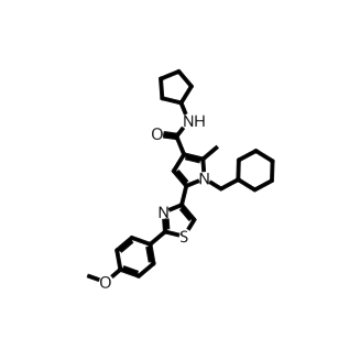 COc1ccc(-c2nc(-c3cc(C(=O)NC4CCCC4)c(C)n3CC3CCCCC3)cs2)cc1